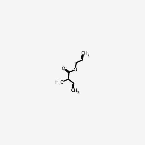 C=CCOC(=O)C(C)C=C